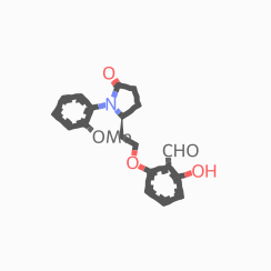 COc1ccccc1N1C(=O)CC[C@H]1CCOc1cccc(O)c1C=O